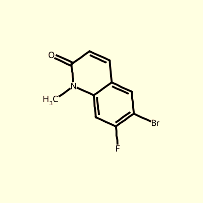 Cn1c(=O)ccc2cc(Br)c(F)cc21